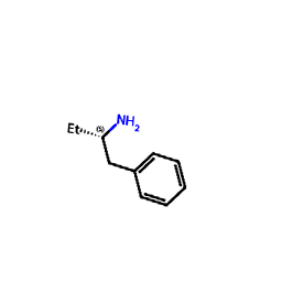 CC[C@H](N)Cc1ccccc1